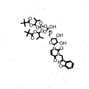 CC(C)C(OC(=O)C(C)(C)C)OP(=O)(OC(OC(=O)C(C)(C)C)C(C)C)OP(=O)(O)OC[C@H]1O[C@@H](n2ccc(=O)n(Cc3noc4ccccc34)c2=O)[C@@H](O)[C@H]1O